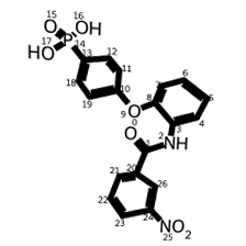 O=C(Nc1ccccc1Oc1ccc(P(=O)(O)O)cc1)c1cccc([N+](=O)[O-])c1